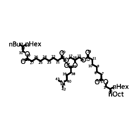 CCCCCCCCC(CCCCCC)COC(=O)CCCCCC(=O)OCC(COC(=O)CCCCCCCC(=O)OCC(CCCC)CCCCCC)OC(=O)CCCN(C)C